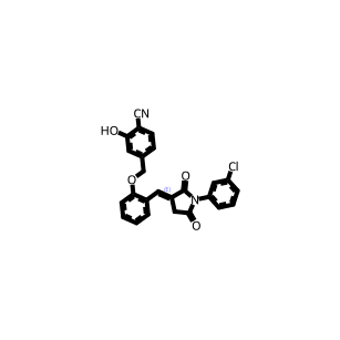 N#Cc1ccc(COc2ccccc2/C=C2\CC(=O)N(c3cccc(Cl)c3)C2=O)cc1O